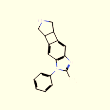 Cc1nc2cc3c(cc2n1-c1ccccc1)C1CNCC31